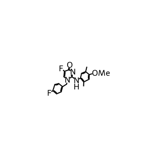 COc1cc(C)c(Nc2nc(=O)c(F)cn2Cc2ccc(F)cc2)cc1C